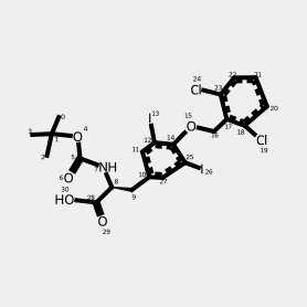 CC(C)(C)OC(=O)N[C@@H](Cc1cc(I)c(OCc2c(Cl)cccc2Cl)c(I)c1)C(=O)O